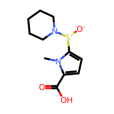 Cn1c(C(=O)O)ccc1[S+]([O-])N1CCCCC1